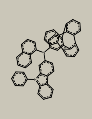 c1ccc(-n2c3ccccc3c3ccc(N(c4ccc5c(c4)-c4c6cccc4-c4cccc-5c4-c4ccccc4-6)c4cccc5ccccc45)cc32)cc1